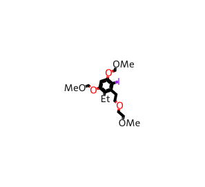 CCc1c(OCOC)cc(OCOC)c(I)c1CCOCCOC